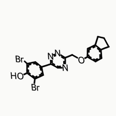 Oc1c(Br)cc(-c2cnc(COc3ccc4c(c3)CCC4)nn2)cc1Br